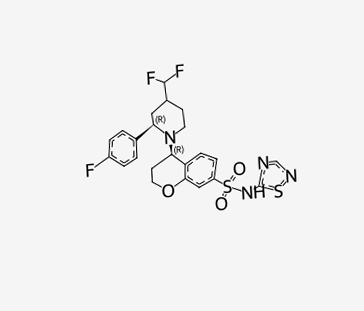 O=S(=O)(Nc1ncns1)c1ccc2c(c1)OCC[C@H]2N1CCC(C(F)F)C[C@@H]1c1ccc(F)cc1